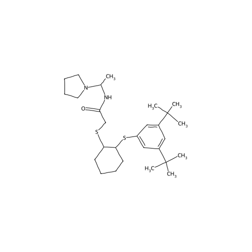 CC(NC(=O)CSC1CCCCC1Sc1cc(C(C)(C)C)cc(C(C)(C)C)c1)N1CCCC1